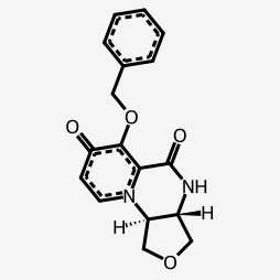 O=C1N[C@@H]2COC[C@H]2n2ccc(=O)c(OCc3ccccc3)c21